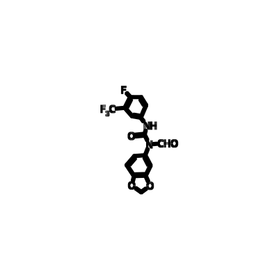 O=CN(C(=O)Nc1ccc(F)c(C(F)(F)F)c1)c1ccc2c(c1)OCO2